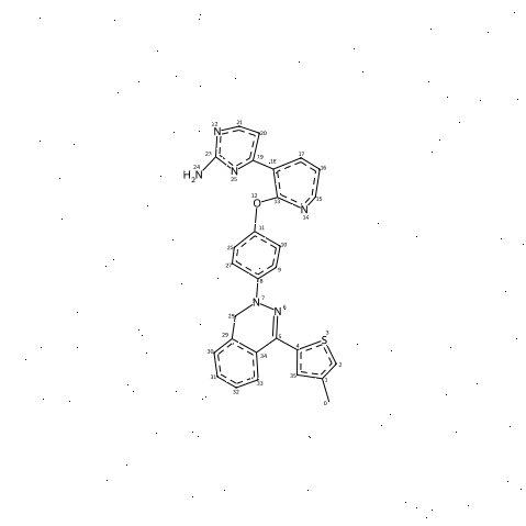 Cc1csc(C2=NN(c3ccc(Oc4ncccc4-c4ccnc(N)n4)cc3)Cc3ccccc32)c1